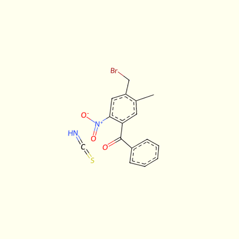 Cc1cc(C(=O)c2ccccc2)c([N+](=O)[O-])cc1CBr.N=C=S